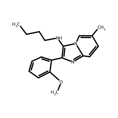 CCCCNc1c(-c2ccccc2OC)nc2ccc(C)cn12